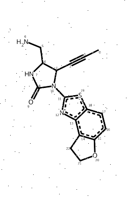 CC#CC1C(CN)NC(=O)N1c1nc2c3c(ccc2s1)OCC3